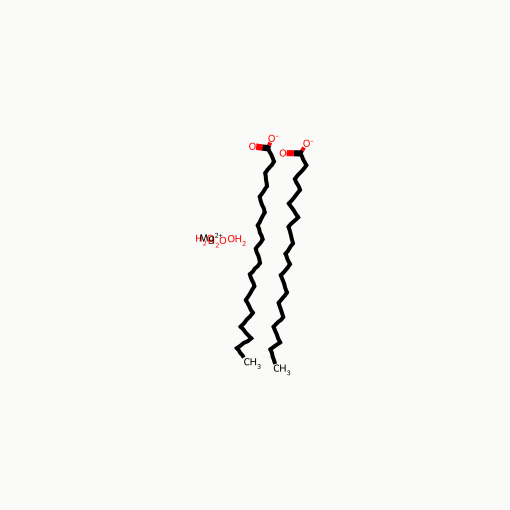 CCCCCCCCCCCCCCCCCC(=O)[O-].CCCCCCCCCCCCCCCCCC(=O)[O-].O.O.O.[Mg+2]